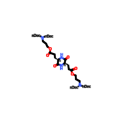 CCCCCCCCCCN(CCCCCCCCCC)CCCOC(=O)CC[C@@H]1NC(=O)[C@H](CCC(=O)OCCCN(CCCCCCCCCC)CCCCCCCCCC)NC1=O